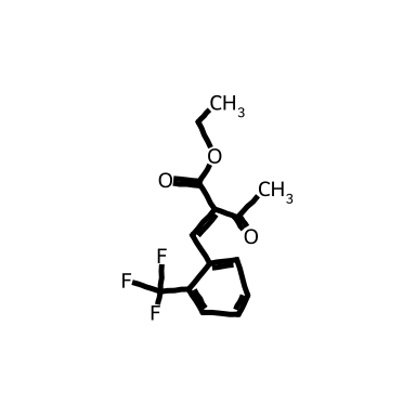 CCOC(=O)/C(=C/c1ccccc1C(F)(F)F)C(C)=O